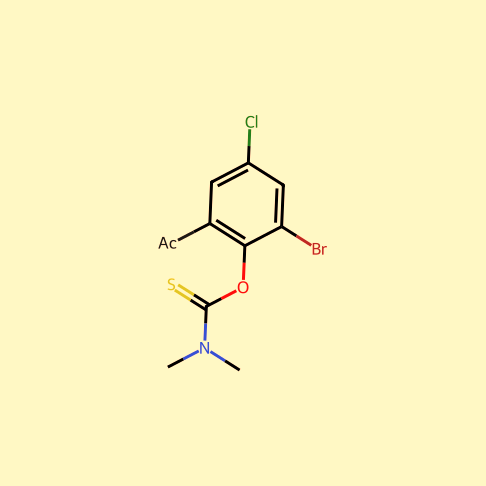 CC(=O)c1cc(Cl)cc(Br)c1OC(=S)N(C)C